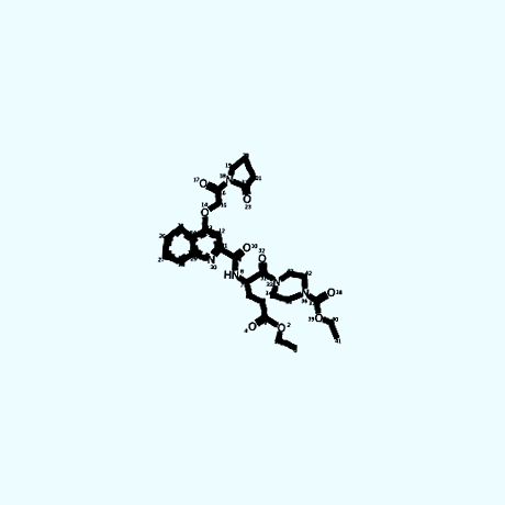 CCOC(=O)CCC(NC(=O)c1cc(OCC(=O)N2CCCC2=O)c2ccccc2n1)C(=O)N1CCN(C(=O)OCC)CC1